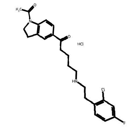 CC(=O)N1CCc2cc(C(=O)CCCCNCCc3ccc(F)cc3Cl)ccc21.Cl